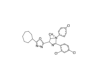 CC1C(c2nnc(C3CCCCCC3)o2)N=C(c2ccc(Cl)cc2Cl)N1c1ccc(Cl)cc1